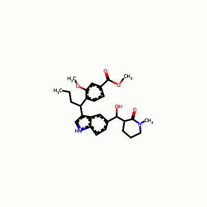 CCCC(c1ccc(C(=O)OC)cc1OC)c1c[nH]c2ccc(C(O)C3CCCN(C)C3=O)cc12